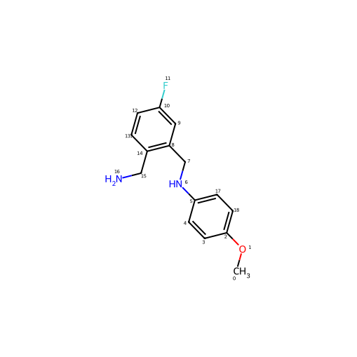 COc1ccc(NCc2cc(F)c[c]c2CN)cc1